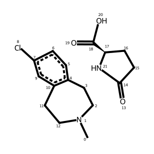 CN1CCc2ccc(Cl)cc2CC1.O=C1CC[C@H](C(=O)O)N1